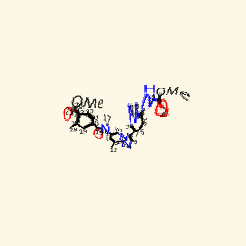 COC(=O)Nc1ccc(-c2cnc3c(C)cc(N(C)C(=O)c4ccc(C(=O)OC)c(C)c4)cn23)cn1